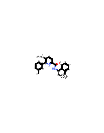 COc1ccc(C(=O)N[C@@H](CC(=O)O)c2ccccc2C)nc1-c1cccc(C)c1